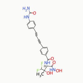 CC(O)(C(F)F)[C@H](NC(=O)c1ccc(C#CC#Cc2ccc(NC(N)=O)cc2)cc1)C(=O)NO